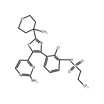 CC1(c2nc(-c3cccc(NS(=O)(=O)CCC(F)(F)F)c3Cl)c(-c3ccnc(N)n3)s2)CCOCC1